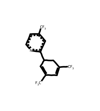 FC(F)(F)C1=CC(c2cc(C(F)(F)F)ccn2)CC(C(F)(F)F)=C1